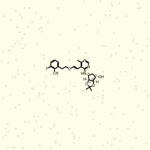 Cc1ncnc(N[C@@H]2C[C@H](O)[C@H]3OC(C)(C)O[C@H]32)c1/C=C/OCCc1cccc(F)c1C#N